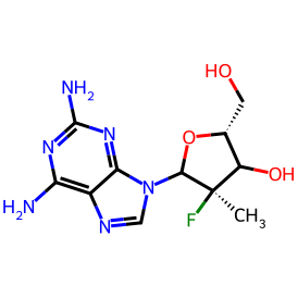 C[C@@]1(F)C(O)[C@@H](CO)OC1n1cnc2c(N)nc(N)nc21